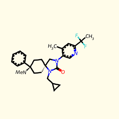 CN[C@]1(c2ccccc2)CC[C@]2(CC1)CN(c1cnc(C(C)(F)F)cc1C)C(=O)N2CC1CC1